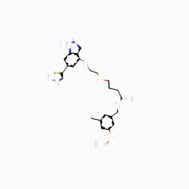 C[C@@H](CCCOCCNc1cc(-c2cnns2)cc2[nH]ncc12)NCc1cc(CO)cc(OC(F)(F)F)c1